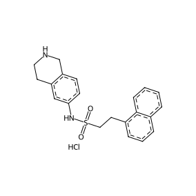 Cl.O=S(=O)(CCc1cccc2ccccc12)Nc1ccc2c(c1)CCNC2